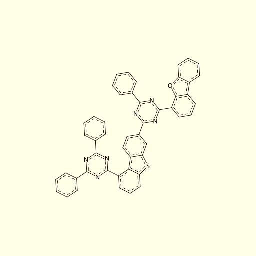 c1ccc(-c2nc(-c3ccc4c(c3)sc3cccc(-c5nc(-c6ccccc6)nc(-c6ccccc6)n5)c34)nc(-c3cccc4c3oc3ccccc34)n2)cc1